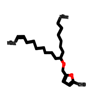 CCCCCCCC/C=C\CCCCCCCC(CCCCCCCCCCCCCCCC)OCc1ccc(C=O)o1